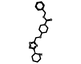 O=C(OCc1ccccc1)N1CCC(OCc2nc([C@@H]3CCCCN3)no2)CC1